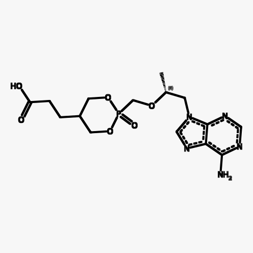 C[C@H](Cn1cnc2c(N)ncnc21)OCP1(=O)OCC(CCC(=O)O)CO1